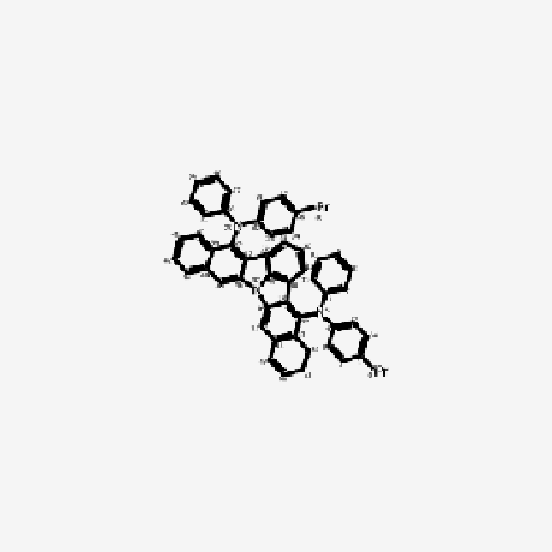 CC(C)c1ccc(N(c2ccccc2)c2c3c(cc4c2c2cccc5c6c(N(c7ccccc7)c7ccc(C(C)C)cc7)c7ccccc7cc6n4c25)C=CCC3)cc1